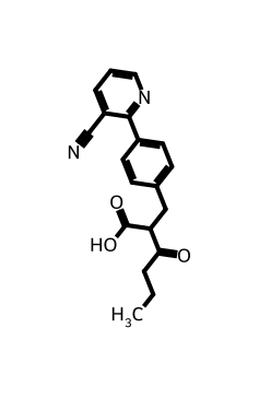 CCCC(=O)C(Cc1ccc(-c2ncccc2C#N)cc1)C(=O)O